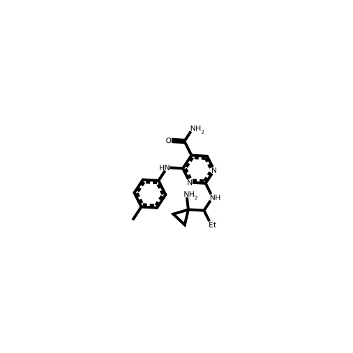 CCC(Nc1ncc(C(N)=O)c(Nc2ccc(C)cc2)n1)C1(N)CC1